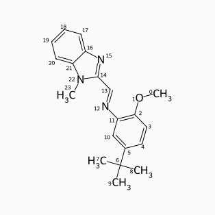 COc1ccc(C(C)(C)C)cc1/N=C/c1nc2ccccc2n1C